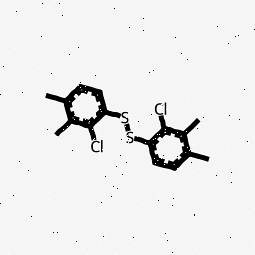 Cc1ccc(SSc2ccc(C)c(C)c2Cl)c(Cl)c1C